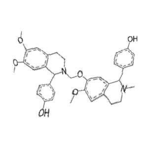 COc1cc2c(cc1OC)C(c1ccc(O)cc1)N(COc1cc3c(cc1OC)CCN(C)C3c1ccc(O)cc1)CC2